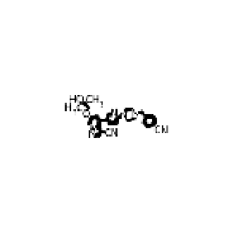 CC(C)(O)COc1cc(-c2ccc(N3CCN(Cc4ccc(C#N)cc4)CC3)nc2)c2c(C#N)cnn2c1